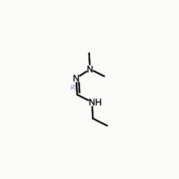 CCN/C=N\N(C)C